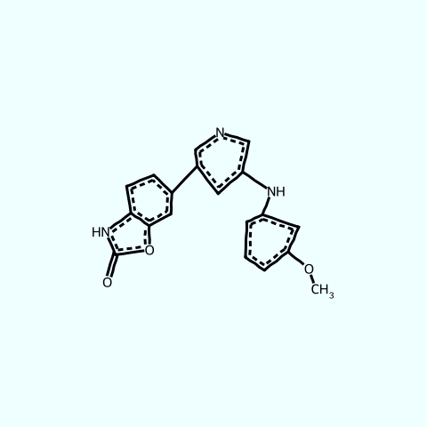 COc1cccc(Nc2cncc(-c3ccc4[nH]c(=O)oc4c3)c2)c1